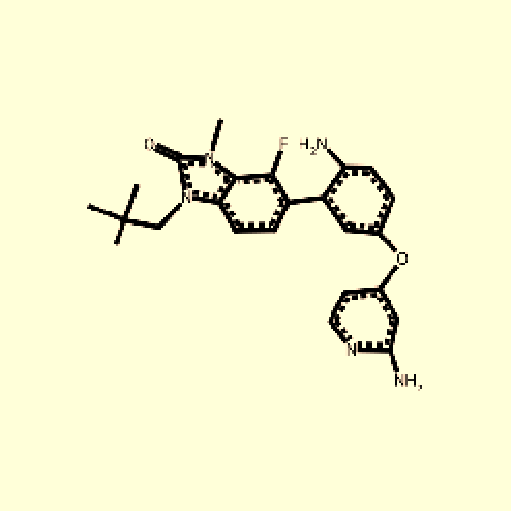 Cn1c(=O)n(CC(C)(C)C)c2ccc(-c3cc(Oc4ccnc(N)c4)ccc3N)c(F)c21